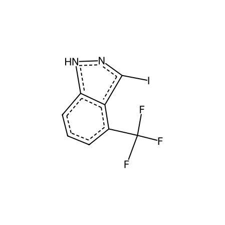 FC(F)(F)c1cccc2[nH]nc(I)c12